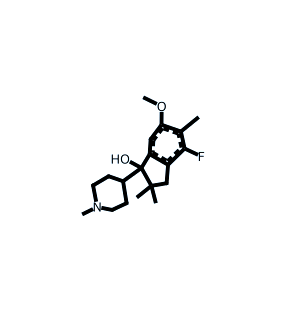 COc1cc2c(c(F)c1C)CC(C)(C)C2(O)C1CCN(C)CC1